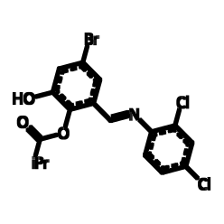 CC(C)C(=O)Oc1c(O)cc(Br)cc1C=Nc1ccc(Cl)cc1Cl